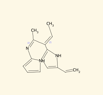 C=Cc1ccc(C(=C/C)/C(C)=N\c2ccc[nH]2)[nH]1